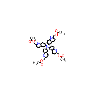 CC(=O)OCc1ccc2cc([N+](c3ccc4nc(COC(C)=O)ccc4c3)(c3ccc4nc(COC(C)=O)ccc4c3)c3ccc4nc(COC(C)=O)ccc4c3)ccc2n1